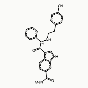 CNC(=O)c1ccc2c(C(=O)[C@H](NCCc3ccc(C#N)cc3)c3ccccc3)c[nH]c2c1